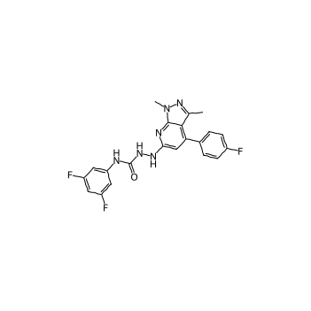 Cc1nn(C)c2nc(NNC(=O)Nc3cc(F)cc(F)c3)cc(-c3ccc(F)cc3)c12